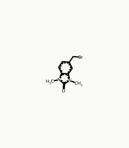 Cn1c(=O)n(C)c2cc(CBr)ccc21